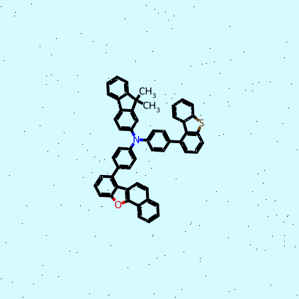 CC1(C)c2ccccc2-c2ccc(N(c3ccc(-c4cccc5c4C4C=CC=CC4S5)cc3)c3ccc(-c4cccc5oc6c7ccccc7ccc6c45)cc3)cc21